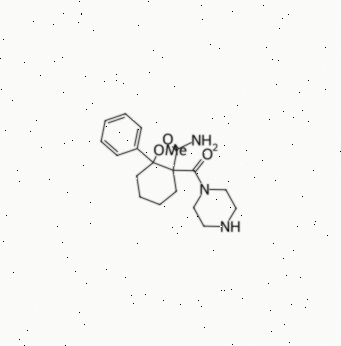 COC1(c2ccccc2)CCCCC1(C(N)=O)C(=O)N1CCNCC1